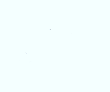 O=C(Nc1nc2ccccc2s1)c1ccc(C(=O)N2CCN(C(=O)Nc3ccccc3)CC2)cc1